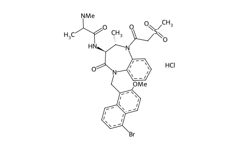 CNC(C)C(=O)N[C@@H]1C(=O)N(Cc2c(OC)ccc3c(Br)cccc23)c2ccccc2N(C(=O)CS(C)(=O)=O)[C@H]1C.Cl